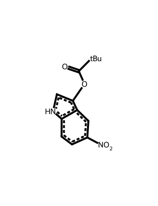 CC(C)(C)C(=O)Oc1c[nH]c2ccc([N+](=O)[O-])cc12